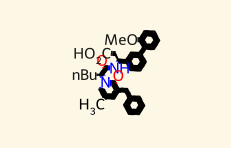 CCCC[C@@H](C(=O)N[C@@H](CC(=O)O)c1cccc(-c2ccccc2OC)c1)n1cc(C)cc(Cc2ccccc2)c1=O